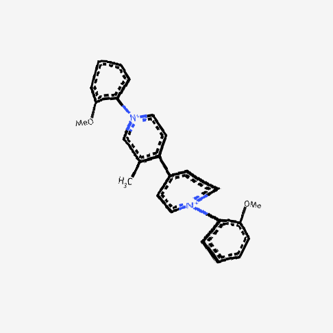 COc1ccccc1-[n+]1ccc(-c2cc[n+](-c3ccccc3OC)cc2C)cc1